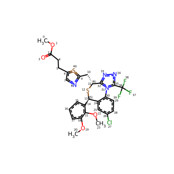 COC(=O)CCc1cnc(C[C@H]2S[C@H](c3cccc(OC)c3OC)c3cc(Cl)ccc3-n3c2nnc3C(F)(F)F)s1